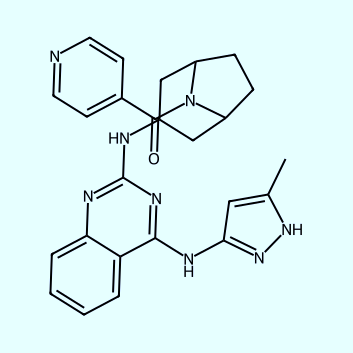 Cc1cc(Nc2nc(NC3CC4CCC(C3)N4C(=O)c3ccncc3)nc3ccccc23)n[nH]1